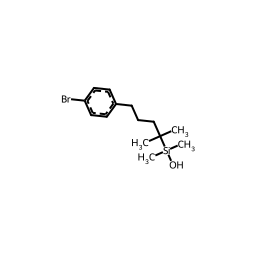 CC(C)(CCCc1ccc(Br)cc1)[Si](C)(C)O